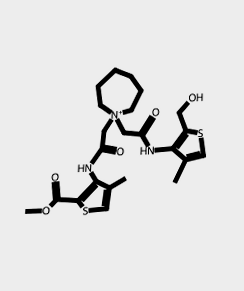 COC(=O)c1scc(C)c1NC(=O)C[N+]1(CC(=O)Nc2c(C)csc2CO)CCCCCC1